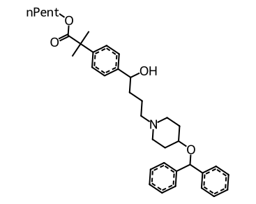 CCCCCOC(=O)C(C)(C)c1ccc(C(O)CCCN2CCC(OC(c3ccccc3)c3ccccc3)CC2)cc1